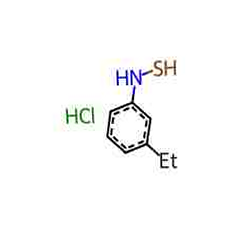 CCc1cccc(NS)c1.Cl